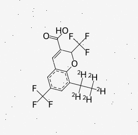 [2H]C([2H])([2H])C([2H])([2H])c1cc(C(F)(F)F)cc2c1OC(C(F)(F)F)C(C(=O)O)=C2